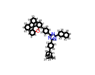 c1ccc2c(c1)Oc1c(-c3ccc(-c4nc(-c5ccc(C67C[C@@H]8CC9C[C@](C8)(C6)C97)cc5)nc(-c5ccc6ccccc6c5)n4)cc3)cccc1C21c2ccccc2-c2ccccc21